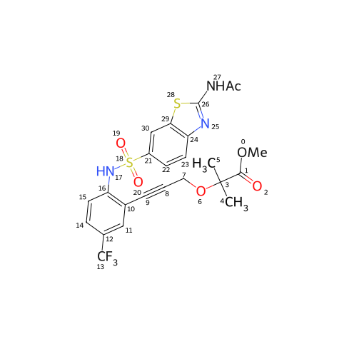 COC(=O)C(C)(C)OCC#Cc1cc(C(F)(F)F)ccc1NS(=O)(=O)c1ccc2nc(NC(C)=O)sc2c1